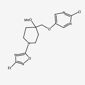 CCc1noc(N2CCC(COc3cnc(Cl)nc3)(OC)CC2)n1